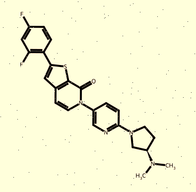 CN(C)[C@@H]1CCN(c2ccc(-n3ccc4cc(-c5ccc(F)cc5F)sc4c3=O)cn2)C1